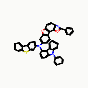 c1ccc(-c2nc3ccc4oc5cc(N(c6ccc7c(c6)sc6ccccc67)c6cccc7c6c6ccccc6n7-c6ccccc6)ccc5c4c3o2)cc1